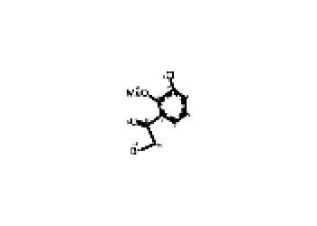 COc1c(Cl)cccc1C(=O)CBr